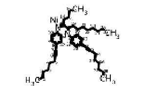 CCCCCCC#Cc1ccc(N=C(CCCC)C(CCCCCCCC)=Nc2ccc(C#CCCCCCC)cc2)cc1.[Ni]